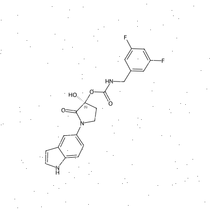 O=C(NCc1cc(F)cc(F)c1)O[C@@]1(O)CCN(c2ccc3[nH]ccc3c2)C1=O